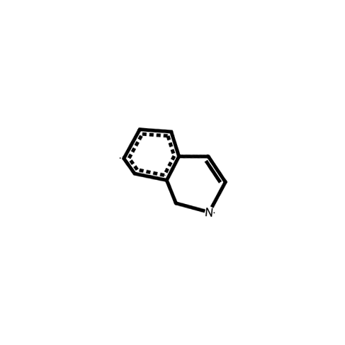 [c]1ccc2c(c1)C[N]C=C2